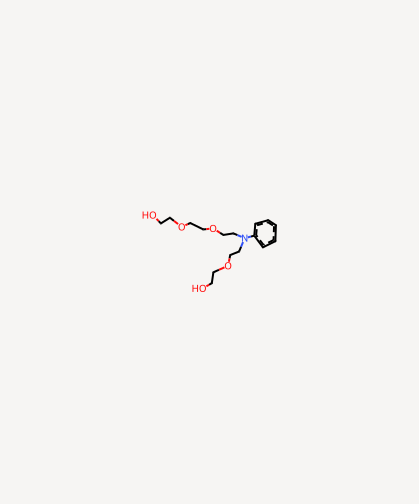 OCCOCCOCCN(CCOCCO)c1ccccc1